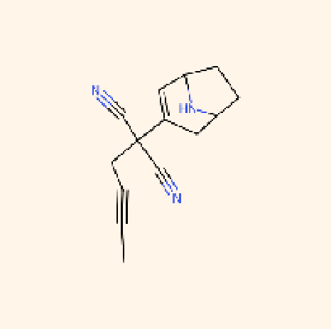 CC#CCC(C#N)(C#N)C1=CC2CCC(C1)N2